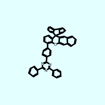 c1ccc(-c2nc(-c3ccccc3)nc(-c3ccc(-c4cccc5c4Oc4cc6ccccc6cc4C54c5ccccc5-c5ccccc54)cc3)n2)cc1